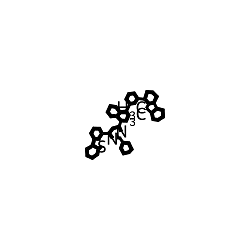 CC1(C)c2ccccc2-c2cccc(-c3cccc(-c4ccc(-c5cc(-c6cccc7c6sc6ccccc67)nc(-c6ccccc6)n5)c5ccccc45)c3)c21